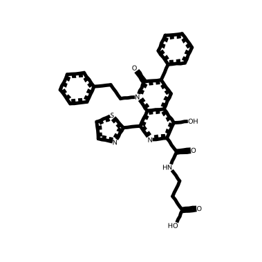 O=C(O)CCNC(=O)c1nc(-c2nccs2)c2c(cc(-c3ccccc3)c(=O)n2CCc2ccccc2)c1O